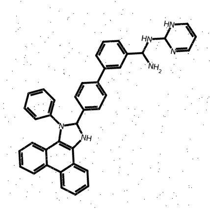 NC(NC1N=CC=CN1)c1cccc(-c2ccc(C3Nc4c(c5ccccc5c5ccccc45)N3c3ccccc3)cc2)c1